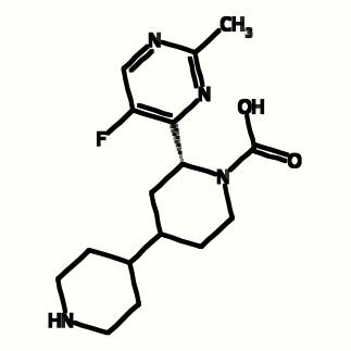 Cc1ncc(F)c([C@H]2CC(C3CCNCC3)CCN2C(=O)O)n1